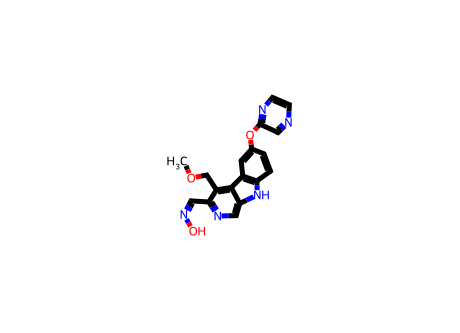 COCc1c(/C=N\O)ncc2[nH]c3ccc(Oc4cnccn4)cc3c12